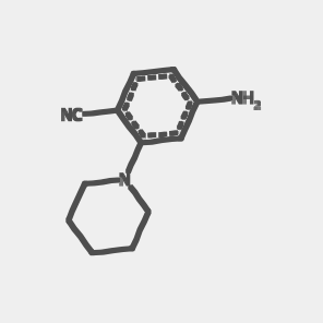 N#Cc1ccc(N)cc1N1CCCCC1